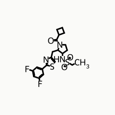 CCS(=O)(=O)NC1CCN(C(=O)C2CCC2)C1Cc1csc(-c2cc(F)cc(F)c2)n1